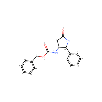 O=C1CC(NC(=O)OCc2ccccc2)C(c2ccccc2)N1